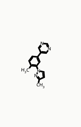 Cc1ccn(-c2cc(-c3cncnc3)ccc2C)n1